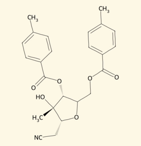 Cc1ccc(C(=O)OCC2O[C@H](CC#N)[C@](C)(O)[C@@H]2OC(=O)c2ccc(C)cc2)cc1